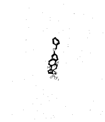 C[C@]12CC[C@@H]3c4ccc(OCc5ccccc5)cc4CC[C@H]3[C@@H]1CC=C2S(=O)(=O)C(F)(F)F